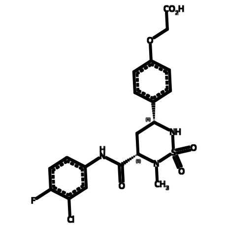 CN1[C@H](C(=O)Nc2ccc(F)c(Cl)c2)C[C@H](c2ccc(OCC(=O)O)cc2)NS1(=O)=O